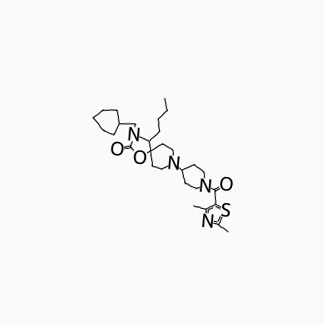 CCCCC1N(CC2CCCCC2)C(=O)OC12CCN(C1CCN(C(=O)c3sc(C)nc3C)CC1)CC2